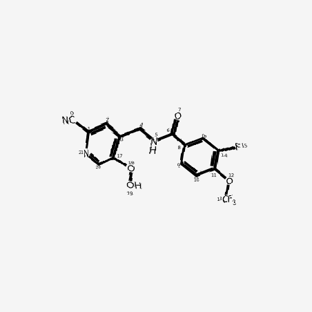 N#Cc1cc(CNC(=O)c2ccc(OC(F)(F)F)c(F)c2)c(OO)cn1